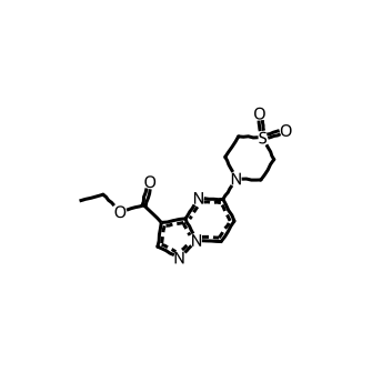 CCOC(=O)c1cnn2ccc(N3CCS(=O)(=O)CC3)nc12